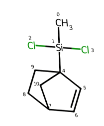 C[Si](Cl)(Cl)C12C=CC(CC1)C2